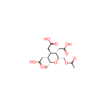 CC(=O)OC[C@@H]1O[C@H](Br)[C@H](CC(=O)O)[C@@H](CC(=O)O)[C@@H]1CC(=O)O